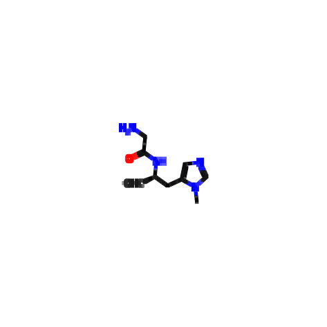 Cn1cncc1C[C@@H]([C]=O)NC(=O)CN